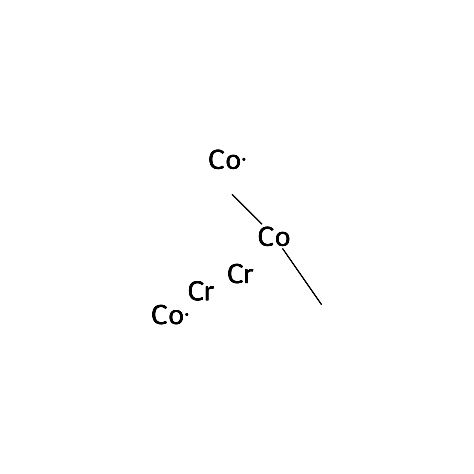 [CH3][Co][CH3].[Co].[Co].[Cr].[Cr]